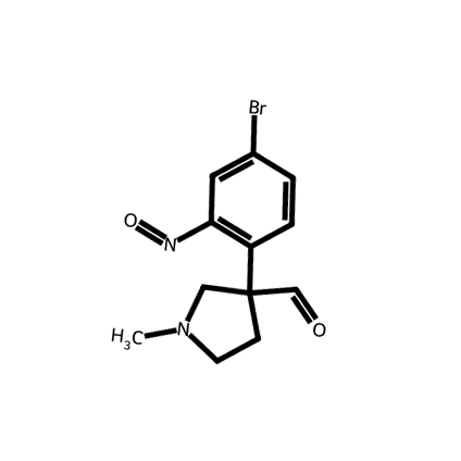 CN1CCC(C=O)(c2ccc(Br)cc2N=O)C1